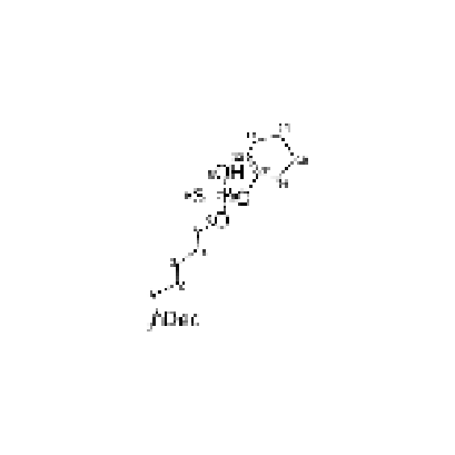 CCCCCCCCCCCCCCCOP(O)(=S)OC1=CCCCC1